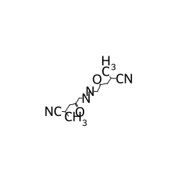 CC(C#N)CC(=O)CN=NCC(=O)CC(C)C#N